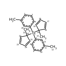 Cc1ccc[c]([Ti]([c]2cccc(C)c2)([C]2(C)C=CC=C2)[C]2(C)C=CC=C2)c1